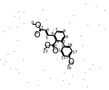 COC(=O)C=Cc1cccc(-c2ccc(OC)cc2)c1C(=O)OC